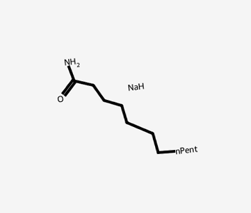 CCCCCCCCCCCC(N)=O.[NaH]